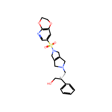 O=S(=O)(c1cnc2c(c1)OCCO2)N1CC2=C(CN(C[C@@H](CO)c3ccccc3)C2)C1